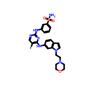 NS(=O)(=O)c1cccc(Nc2ncc(F)c(Nc3ccc4ccn(CCN5CCOCC5)c4c3)n2)c1